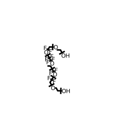 CC(OC(F)(F)C(F)(F)C(C)(C)OC(F)(F)CC(C)(C)OCCC(C)(C)O)C(C)(C)C(F)(F)OC(C)(C)C(F)(F)CC(C)(C)OCCC(C)(C)O